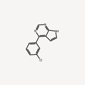 Clc1cccc(-c2ncnc3[nH]ccc23)c1